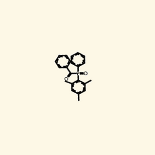 Cc1cc(C)c(P(=O)(C(=O)c2ccccc2)c2ccccc2)c(C)c1